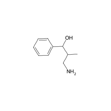 CC(CN)C(O)c1ccccc1